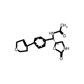 CC(=O)NC(c1ccc(C2=CCOCC2)cc1)[C@@H]1CNC(=O)O1